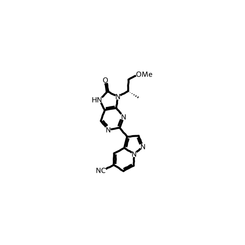 COC[C@H](C)n1c(=O)[nH]c2cnc(-c3cnn4ccc(C#N)cc34)nc21